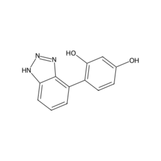 Oc1ccc(-c2cccc3[nH]nnc23)c(O)c1